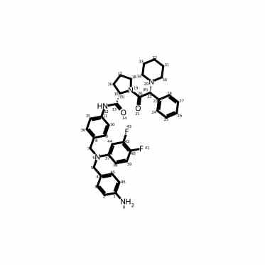 Nc1ccc(CN(Cc2ccc(NC(=O)[C@@H]3CCCN3C(=O)[C@@H](c3ccccc3)N3CCCCC3)cc2)c2ccc(F)c(F)c2)cc1